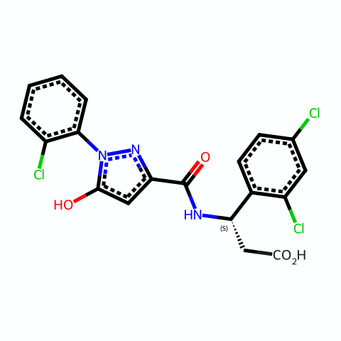 O=C(O)C[C@H](NC(=O)c1cc(O)n(-c2ccccc2Cl)n1)c1ccc(Cl)cc1Cl